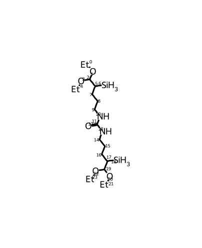 CCOC(OCC)C([SiH3])CCCNC(=O)NCCCC([SiH3])C(OCC)OCC